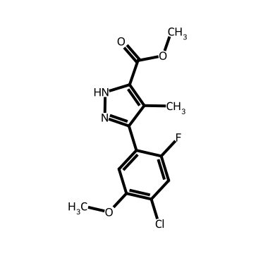 COC(=O)c1[nH]nc(-c2cc(OC)c(Cl)cc2F)c1C